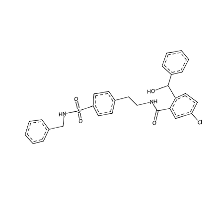 O=C(NCCc1ccc(S(=O)(=O)NCc2ccccc2)cc1)c1cc(Cl)ccc1C(O)c1ccccc1